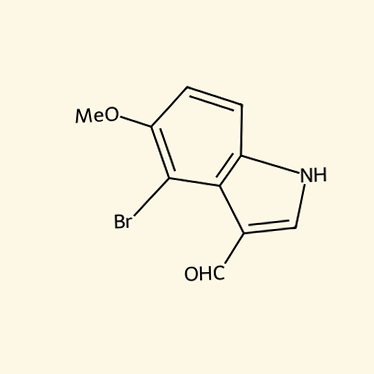 COc1ccc2[nH]cc(C=O)c2c1Br